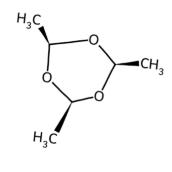 C[C@H]1O[C@@H](C)O[C@@H](C)O1